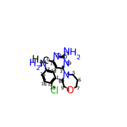 Cc1cc(N2CCCOC[C@@H]2c2cc(N)ccc2Cl)nc(N)n1